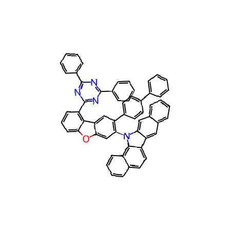 c1ccc(-c2ccc(-c3cc4c(cc3-n3c5cc6ccccc6cc5c5ccc6ccccc6c53)oc3cccc(-c5nc(-c6ccccc6)nc(-c6ccccc6)n5)c34)cc2)cc1